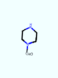 O=CN1C[CH]NCC1